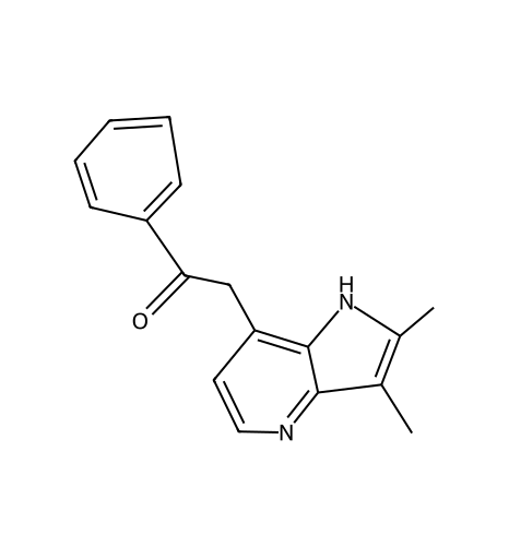 Cc1[nH]c2c(CC(=O)c3ccccc3)ccnc2c1C